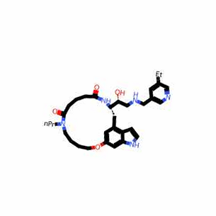 CCCN1CCCCOc2cc(c3cc[nH]c3c2)C[C@@H]([C@H](O)CNCc2cncc(CC)c2)NC(=O)CCCC1=O